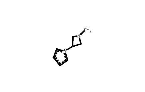 CN1CC(n2cccc2)C1